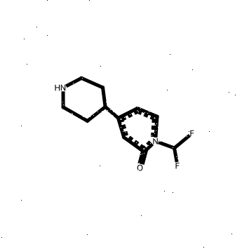 O=c1cc(C2CCNCC2)ccn1C(F)F